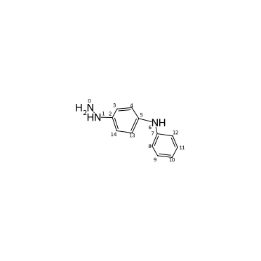 NNc1ccc(Nc2ccccc2)cc1